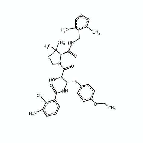 CCOc1ccc(C[C@H](NC(=O)c2cccc(N)c2Cl)[C@H](O)C(=O)N2CSC(C)(C)[C@H]2C(=O)NCc2c(C)cccc2C)cc1